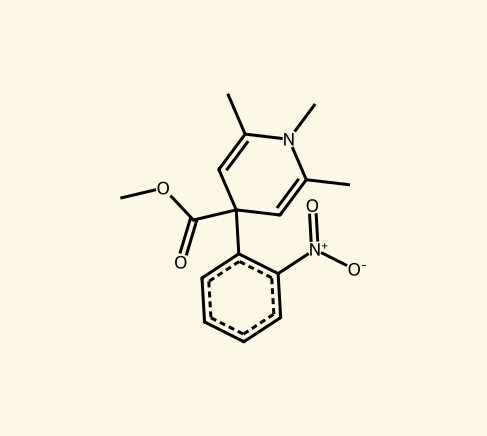 COC(=O)C1(c2ccccc2[N+](=O)[O-])C=C(C)N(C)C(C)=C1